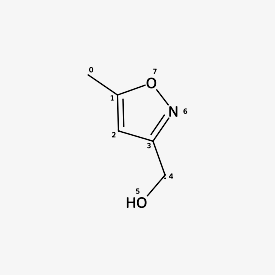 Cc1cc([CH]O)no1